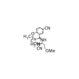 COCCC(=NC#N)N[C@@H]1c2cc(C#N)ccc2OC(C)(C)[C@H]1O